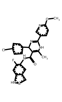 COc1ccc(C2=NC(c3ccc(Cl)cc3)C(C(=O)Nc3cc4cn[nH]c4cc3F)=C(C)N2)cn1